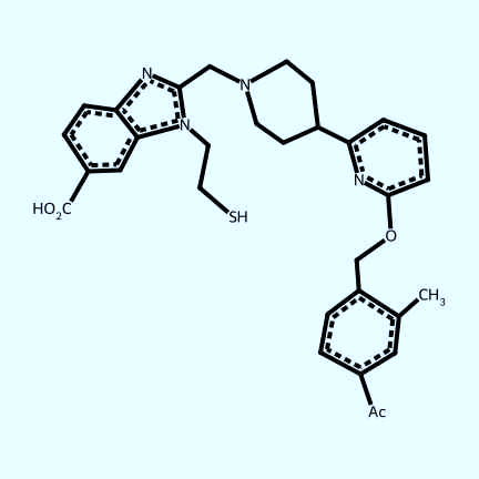 CC(=O)c1ccc(COc2cccc(C3CCN(Cc4nc5ccc(C(=O)O)cc5n4CCS)CC3)n2)c(C)c1